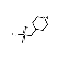 CS(=N)(=O)CC1CCNCC1